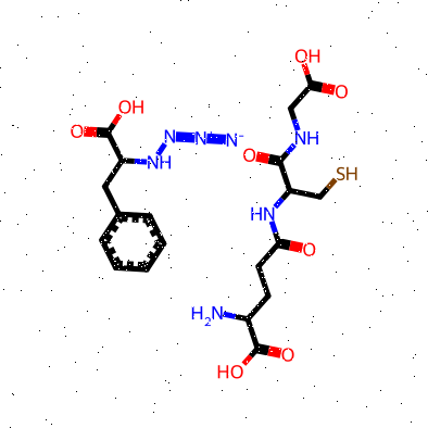 NC(CCC(=O)NC(CS)C(=O)NCC(=O)O)C(=O)O.[N-]=[N+]=NNC(Cc1ccccc1)C(=O)O